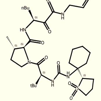 C=CCNC(=O)C(=O)[C@H](CCCC)NC(=O)[C@@H]1[C@@H](C)CCN1C(=O)[C@@H](NC(=O)NC1([C@@H]2CCCS2(=O)=O)CCCCC1)C(C)(C)C